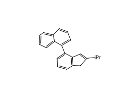 CC(C)C1=Cc2c(cccc2-c2cccc3ccccc23)[CH]1